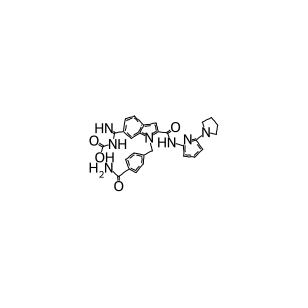 N=C(NC(=O)O)c1ccc2cc(C(=O)Nc3cccc(N4CCCC4)n3)n(Cc3ccc(C(N)=O)cc3)c2c1